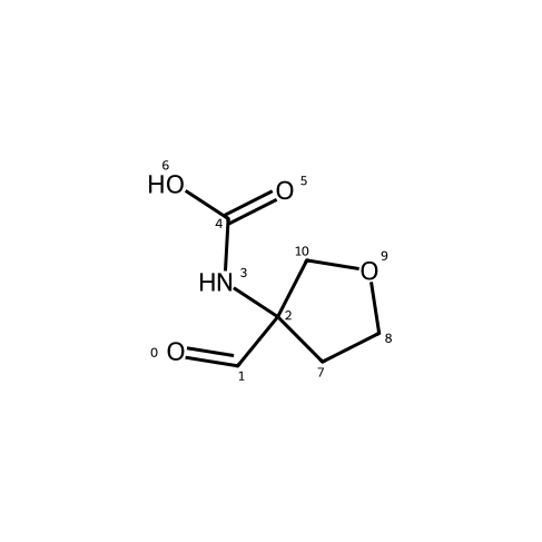 O=CC1(NC(=O)O)CCOC1